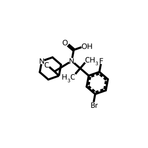 CC(C)(c1cc(Br)ccc1F)N(C(=O)O)C1CN2CCC1CC2